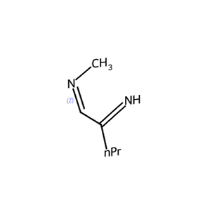 CCCC(=N)/C=N\C